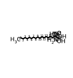 CCCCCCCCCCCCCCCCCC(=O)C(N)(CO)P(=O)(O)O